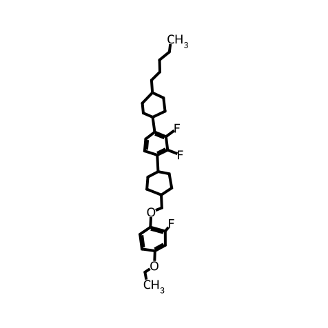 CCCCCC1CCC(c2ccc(C3CCC(COc4ccc(OCC)cc4F)CC3)c(F)c2F)CC1